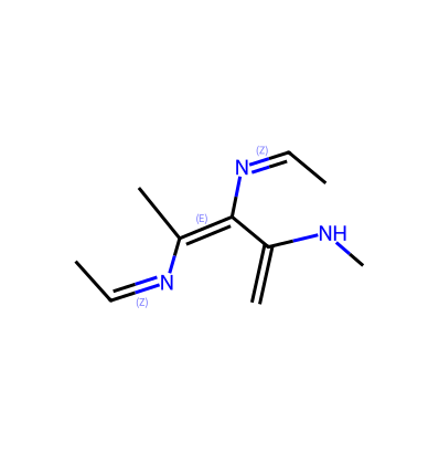 C=C(NC)C(/N=C\C)=C(C)\N=C/C